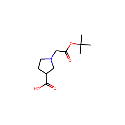 CC(C)(C)OC(=O)CN1CCC(C(=O)O)C1